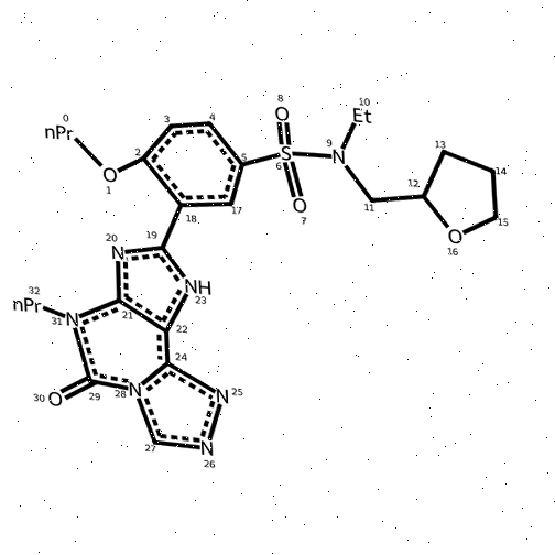 CCCOc1ccc(S(=O)(=O)N(CC)CC2CCCO2)cc1-c1nc2c([nH]1)c1nncn1c(=O)n2CCC